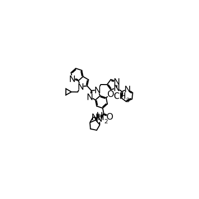 COc1cc(C(=O)N2CC3CCC2[C@@H]3N)cc2nc(-c3cc4cccnc4n3CC3CC3)n(Cc3cnn(-c4ccccn4)c3)c12